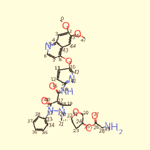 COc1cc2nccc(Oc3ccc(NC(=O)c4c(C)n(C[C@H]5CC(OC(=O)CN)CO5)n(-c5ccccc5)c4=O)nc3)c2cc1OC